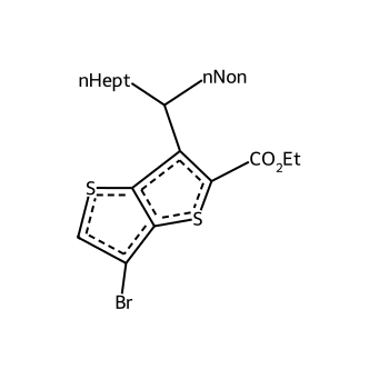 CCCCCCCCCC(CCCCCCC)c1c(C(=O)OCC)sc2c(Br)csc12